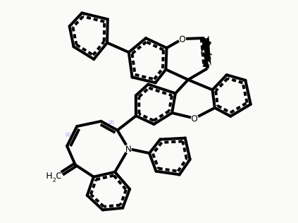 C=C1/C=C\C=C(\c2ccc3c(c2)Oc2ccccc2C32c3ccccc3Oc3cc(-c4ccccc4)ccc32)N(c2ccccc2)c2ccccc21